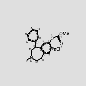 COC(=O)Oc1cc2c(cc1Cl)CCN(C)C[C@H]2c1ccccc1